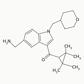 CC1(C)C(C(=O)c2cn(CC3CCOCC3)c3ccc(CN)cc23)C1(C)C